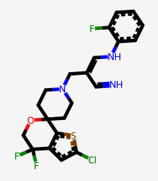 N=C/C(=C\Nc1ccccc1F)CN1CCC2(CC1)OCC(F)(F)c1cc(Cl)sc12